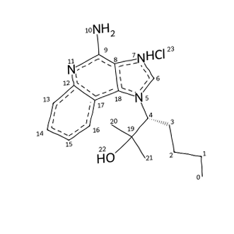 CCCC[C@@H](n1cnc2c(N)nc3ccccc3c21)C(C)(C)O.Cl